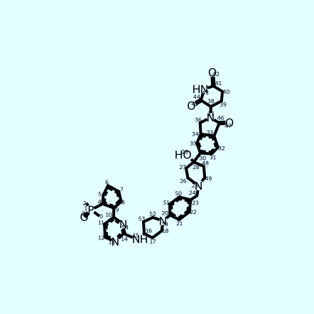 CP(C)(=O)c1ccccc1-c1ccnc(NC2CCN(c3ccc(CN4CCC(O)(c5ccc6c(c5)CN(C5CCC(=O)NC5=O)C6=O)CC4)cc3)CC2)n1